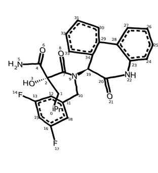 CC(C)C[C@@](O)(C(N)=O)C(=O)N(Cc1cc(F)cc(F)c1)[C@@H]1C(=O)Nc2ccccc2-c2ccccc21